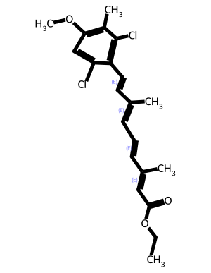 CCOC(=O)/C=C(C)/C=C/C=C(C)/C=C/c1c(Cl)cc(OC)c(C)c1Cl